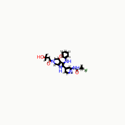 CC(C)(O)CC(=O)N1CC(=O)c2c([nH]c(-c3ccnc(NC(=O)[C@@H]4C[C@@H]4F)c3)c2Nc2ccccc2)C1